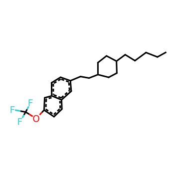 CCCCCC1CCC(CCc2ccc3cc(OC(F)(F)F)ccc3c2)CC1